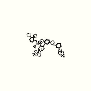 CN1CCN(c2cccc(COc3cccc(C4=C(C(=O)N(Cc5cccc(Cl)c5Cl)C5CC5)CN(C(=O)OC(C)(C)C)CC4)c3)c2)CC1